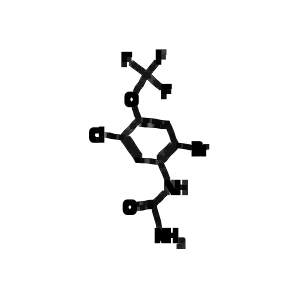 NC(=O)Nc1cc(Cl)c(OC(F)(F)F)cc1Br